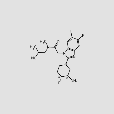 CC(C#N)CN(C)C(=O)Cn1c(N2CC[C@@H](F)[C@H](N)C2)nc2cc(F)c(F)cc21